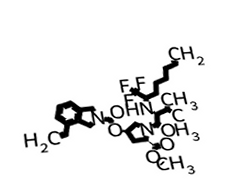 C=CCCCCC(N[C@H](C(=O)N1C[C@H](OC(=O)N2Cc3cccc(C=C)c3C2)C[C@H]1C(=O)OC)C(C)C)C(F)(F)F